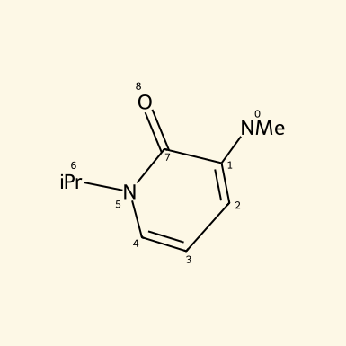 CNc1cccn(C(C)C)c1=O